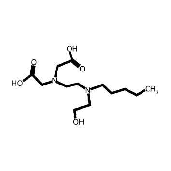 CCCCCN(CCO)CCN(CC(=O)O)CC(=O)O